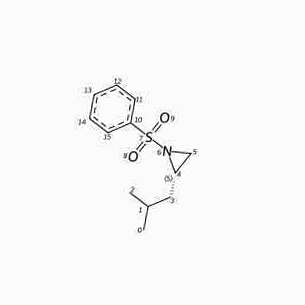 CC(C)C[C@H]1CN1S(=O)(=O)c1ccccc1